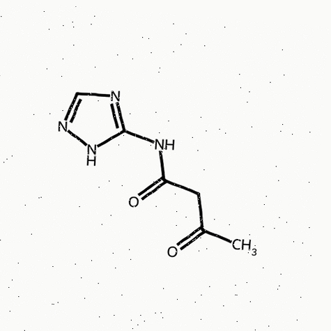 CC(=O)CC(=O)Nc1ncn[nH]1